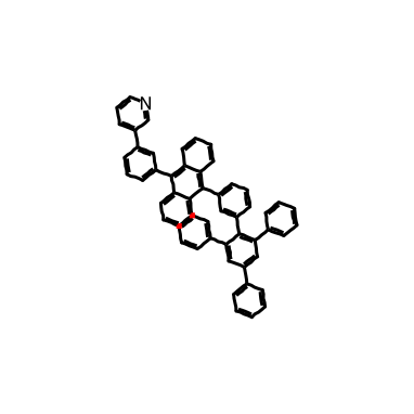 c1ccc(-c2cc(-c3ccccc3)c(-c3cccc(-c4c5ccccc5c(-c5cccc(-c6cccnc6)c5)c5ccccc45)c3)c(-c3ccccc3)c2)cc1